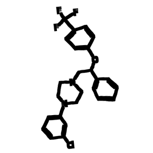 FC(F)(F)c1ccc(OC(CN2CCN(c3cccc(Cl)c3)CC2)c2ccccc2)cc1